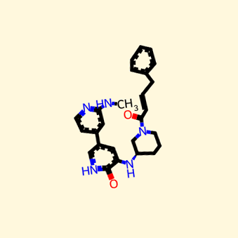 CNc1cc(-c2c[nH]c(=O)c(N[C@@H]3CCCN(C(=O)/C=C/Cc4ccccc4)C3)c2)ccn1